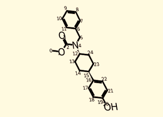 COC(=O)N(Cc1ccccc1)[C@H]1CC[C@H](c2ccc(O)cc2)CC1